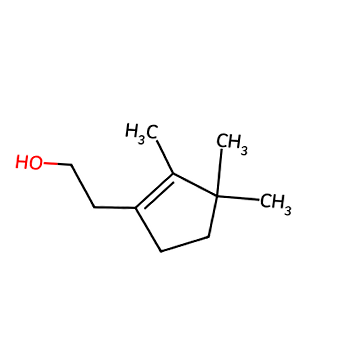 CC1=C(CCO)CCC1(C)C